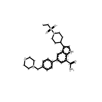 CCS(=O)(=O)N1CCC(c2c[nH]c3c(C(N)=O)cc(-c4ccc(CN5CCOCC5)cc4)cc23)CC1